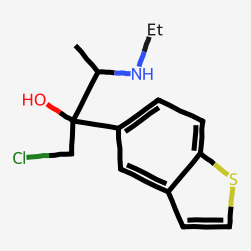 CCNC(C)C(O)(CCl)c1ccc2sccc2c1